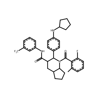 Cc1cccc(F)c1C(=O)N1C2CCCC2CC(C(=O)Nc2cccc(C(F)(F)F)c2)C1c1ccc(NC2CCCC2)cc1